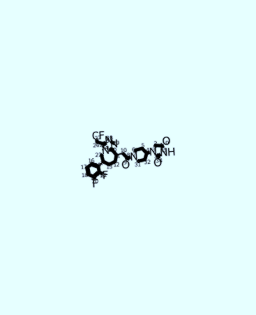 O=C1CN(C2CCN(C(=O)C[C@H]3CC[C@@H](c4cccc(F)c4F)Cn4c(CC(F)(F)F)nnc43)CC2)C(=O)N1